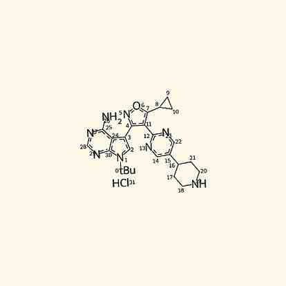 CC(C)(C)n1cc(-c2noc(C3CC3)c2-c2ncc(C3CCNCC3)cn2)c2c(N)ncnc21.Cl